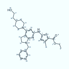 CCOC(=O)c1sc(Nc2nc(N3CCC(CCO)CC3)c3c(n2)N(Cc2cccnc2)CC3)nc1C